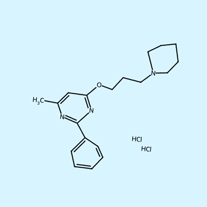 Cc1cc(OCCCN2CCCCC2)nc(-c2ccccc2)n1.Cl.Cl